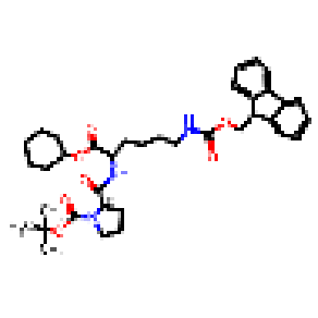 CC(C)(C)OC(=O)N1CCC[C@@H]1C(=O)NC(CCCCNC(=O)OCC1c2ccccc2-c2ccccc21)C(=O)OC1CCCCC1